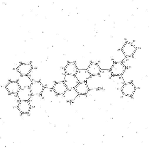 Cc1cc(C)nc(-c2c(-c3ccc(-c4nc(-c5ccccc5)nc(-c5ccccc5)n4)cc3)cccc2-c2cccc(-c3cc(-c4ccccc4)nc(-c4ccccc4-c4ccccc4)n3)c2)n1